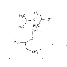 CC(C)[O-].CC(C)[O-].CCC(C)[O][Zr+2]